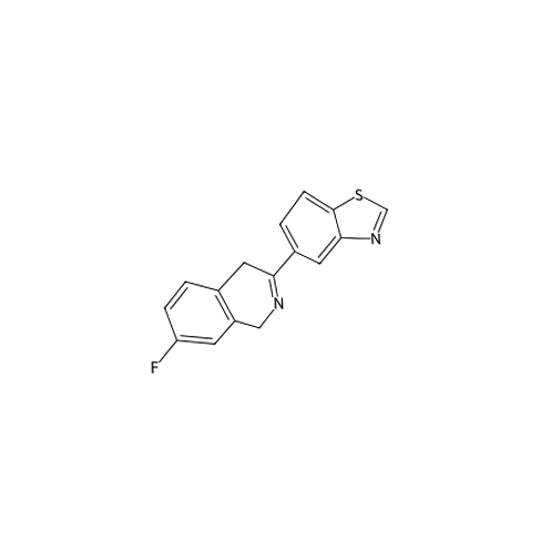 Fc1ccc2c(c1)CN=C(c1ccc3scnc3c1)C2